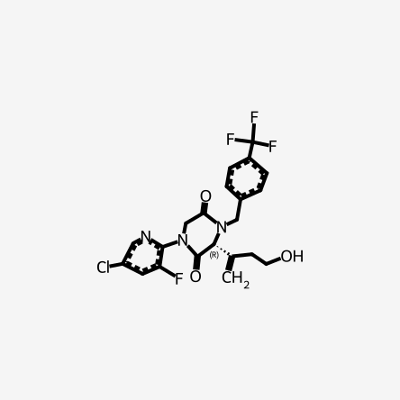 C=C(CCO)[C@@H]1C(=O)N(c2ncc(Cl)cc2F)CC(=O)N1Cc1ccc(C(F)(F)F)cc1